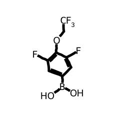 OB(O)c1cc(F)c(OCC(F)(F)F)c(F)c1